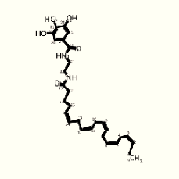 CC/C=C\C/C=C\C/C=C\C/C=C\C/C=C\CCCC(=O)NCCNC(=O)c1cc(O)c(O)c(O)c1